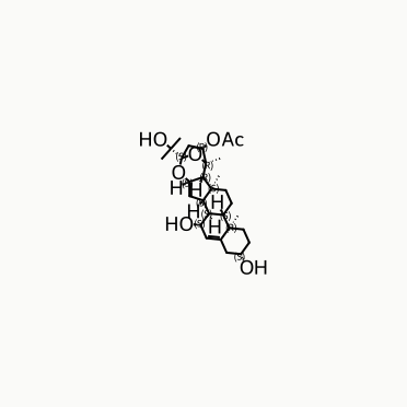 CC(=O)O[C@@H]1C[C@]2(C(C)(C)O)O[C@H]3C[C@H]4[C@@H]5[C@H](O)C=C6C[C@@H](O)CC[C@]6(C)[C@H]5CC[C@]4(C)[C@H]3[C@@]1(C)O2